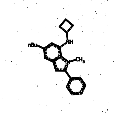 CCCCc1cc(NC2CCC2)c2c(c1)cc(-c1ccccc1)n2C